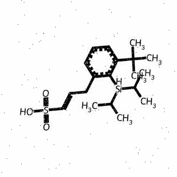 CC(C)[SiH](c1c(CC=CS(=O)(=O)O)cccc1C(C)(C)C)C(C)C